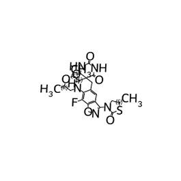 C[C@@H]1CN2c3c(cc4c(N5C[C@H](C)SC5=O)noc4c3F)CC3(C(=O)NC(=O)NC3=O)[C@H]2[C@H](C)O1